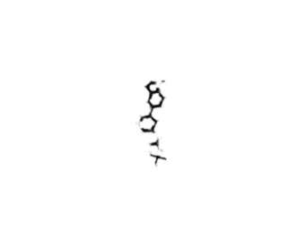 Cn1ccc2cc(-c3cncc(OC(=O)NC(C)(C)C)c3)ccc21